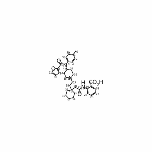 Cc1ccc(N(C(=O)c2ccco2)C2CCN(CCC3(CC(=O)Nc4ccccc4C(=O)O)CCCCC3)CC2)cc1